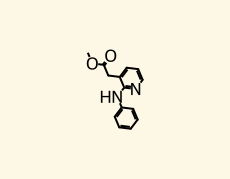 COC(=O)Cc1cccnc1Nc1ccccc1